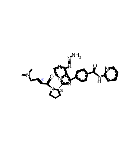 CN(C)C/C=C/C(=O)N1CCC[C@H]1c1nc(-c2ccc(C(=O)Nc3ccccn3)cc2)c2c(N=NN)nccn12